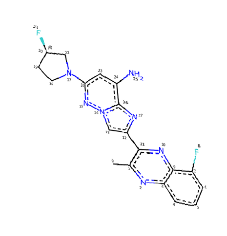 Cc1nc2cccc(F)c2nc1-c1cn2nc(N3CC[C@@H](F)C3)cc(N)c2n1